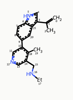 C=C(C)c1c[nH]c2ccc(-c3cncc(CNCC)c3C)cc12